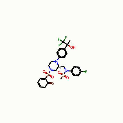 CC(O)(c1ccc(N2CCN(S(=O)(=O)C3=CC=CCC3=S)C[C@@H]2CN(c2ccc(F)cc2)S(C)(=O)=O)cc1)C(F)(F)F